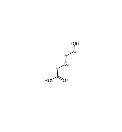 O=C(O)CSCCO